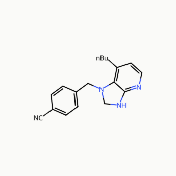 CCCCc1ccnc2c1N(Cc1ccc(C#N)cc1)CN2